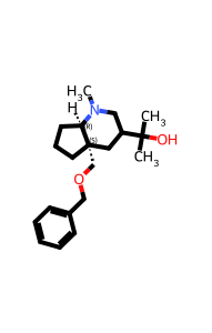 CN1CC(C(C)(C)O)C[C@@]2(COCc3ccccc3)CCC[C@@H]12